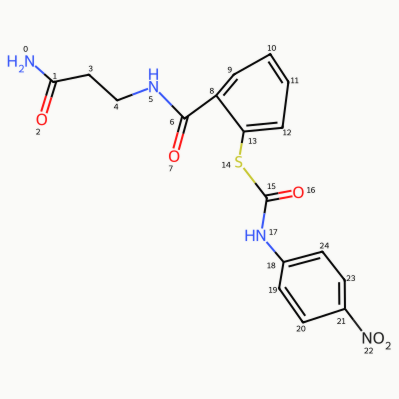 NC(=O)CCNC(=O)c1ccccc1SC(=O)Nc1ccc([N+](=O)[O-])cc1